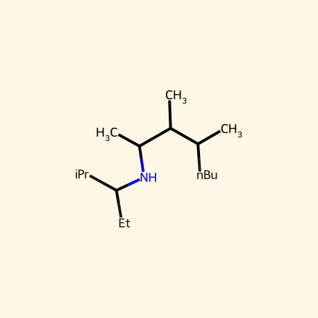 CCCCC(C)C(C)C(C)NC(CC)C(C)C